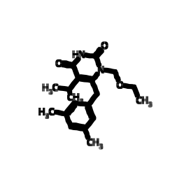 CCOCn1c(Cc2cc(C)cc(C)c2)c(C(C)C)c(=O)[nH]c1=O